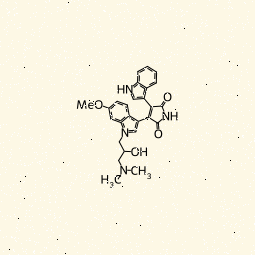 COc1ccc2c(C3=C(c4c[nH]c5ccccc45)C(=O)NC3=O)cn(CC(O)CN(C)C)c2c1